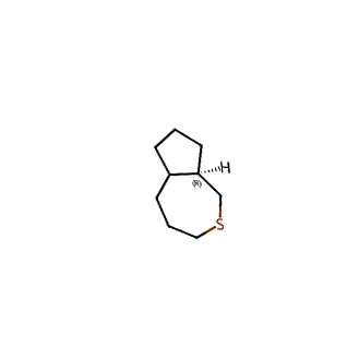 C1CSC[C@@H]2CCCC2C1